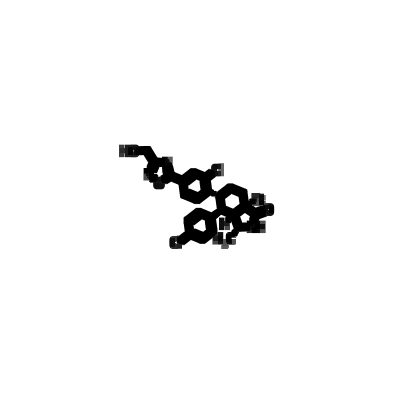 CC[C@@]12CC[C@@H](c3ccc(-c4nc(CO)no4)cc3Cl)[C@H](c3ccc(Cl)cc3)[C@@H]1[C@@H](C)NC2=O